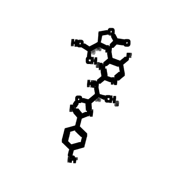 CC(C)c1ccc(-c2noc([C@H](C)Nc3ncc(F)c(N4C(=O)OC[C@@H]4[C@@H](C)O)n3)n2)cc1